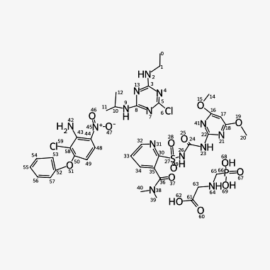 CCNc1nc(Cl)nc(NC(C)C)n1.COc1cc(OC)nc(NC(=O)NS(=O)(=O)c2ncccc2C(=O)N(C)C)n1.Nc1c([N+](=O)[O-])ccc(Oc2ccccc2)c1Cl.O=C(O)CNCP(=O)(O)O